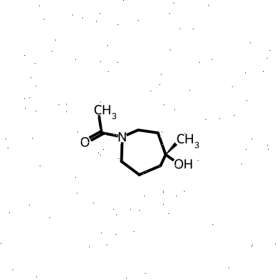 CC(=O)N1CCC[C@@](C)(O)CC1